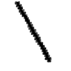 CCCCCCCCCCCCCCCCCCCCCCCCCCCCCCCCCCCCCCCCCCCCCCC